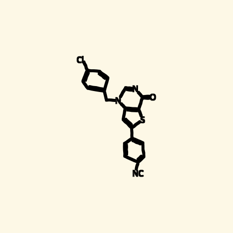 [C-]#[N+]c1ccc(-c2cc3c(s2)c(=O)ncn3Cc2ccc(Cl)cc2)cc1